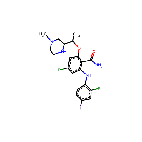 CC(Oc1cc(F)cc(Nc2ccc(I)cc2F)c1C(N)=O)C1CN(C)CCN1